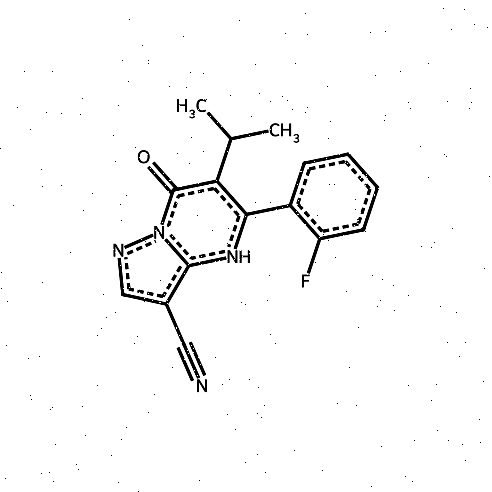 CC(C)c1c(-c2ccccc2F)[nH]c2c(C#N)cnn2c1=O